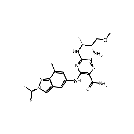 COC[C@H](N)[C@@H](C)Nc1nnc(C(N)=O)c(Nc2cc(C)c3nn(C(F)F)cc3c2)n1